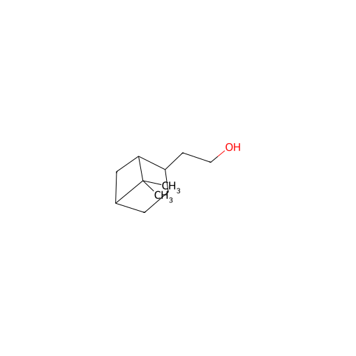 CC1(C)C2CCC(CCO)C1C2